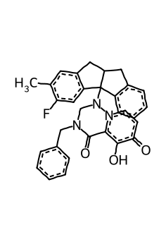 Cc1cc2c(cc1F)C1(N3CN(Cc4ccccc4)C(=O)c4c(O)c(=O)ccn43)c3ccccc3CC1C2